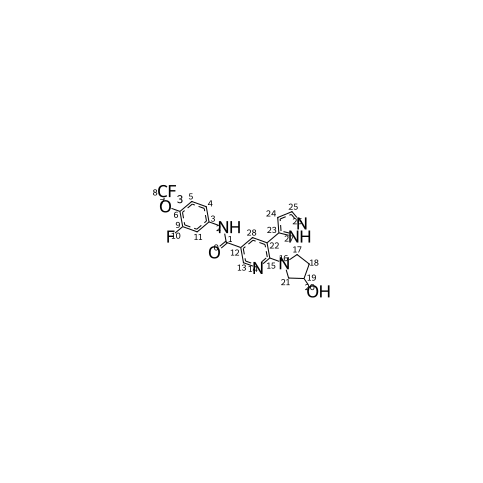 O=C(Nc1ccc(OC(F)(F)F)c(F)c1)c1cnc(N2CCC(O)C2)c(-c2ccn[nH]2)c1